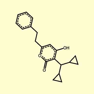 O=c1oc(CCc2ccccc2)cc(O)c1C(C1CC1)C1CC1